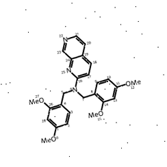 COc1ccc(CN(Cc2ccc(OC)cc2OC)c2ccc3ccncc3n2)c(OC)c1